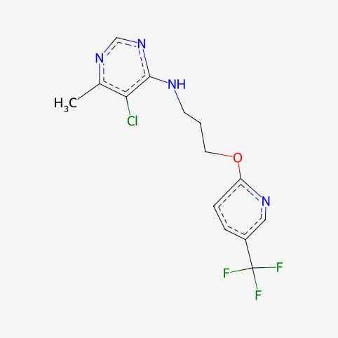 Cc1ncnc(NCCCOc2ccc(C(F)(F)F)cn2)c1Cl